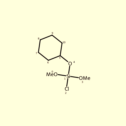 CO[Si](Cl)(OC)OC1CCCCC1